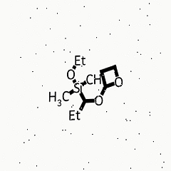 CCO[Si](C)(C)C(CC)OC1CCO1